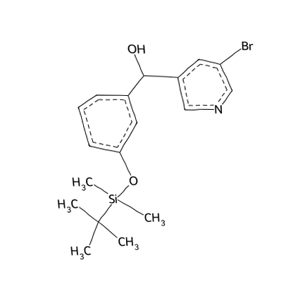 CC(C)(C)[Si](C)(C)Oc1cccc(C(O)c2cncc(Br)c2)c1